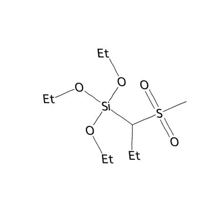 CCO[Si](OCC)(OCC)C(CC)S(C)(=O)=O